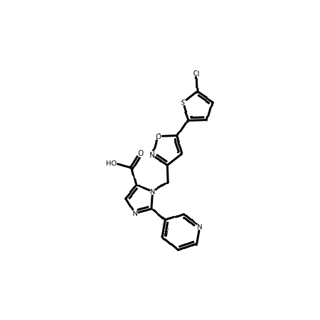 O=C(O)c1cnc(-c2cccnc2)n1Cc1cc(-c2ccc(Cl)s2)on1